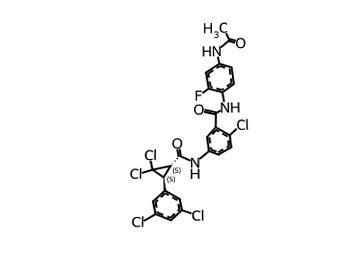 CC(=O)Nc1ccc(NC(=O)c2cc(NC(=O)[C@@H]3[C@@H](c4cc(Cl)cc(Cl)c4)C3(Cl)Cl)ccc2Cl)c(F)c1